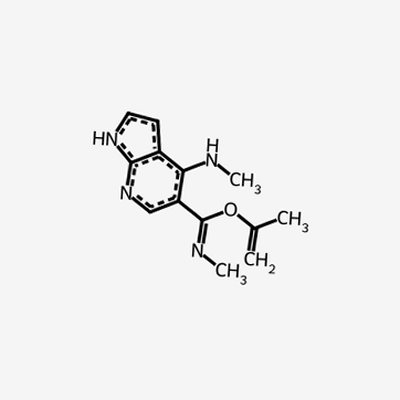 C=C(C)O/C(=N\C)c1cnc2[nH]ccc2c1NC